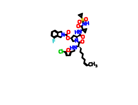 C/C=C\CCCCC[C@H](NCc1ccc(Cl)o1)C(=O)N1C[C@H](OC(=O)N2Cc3cccc(F)c3C2)C[C@H]1C(=O)NC1(C(=O)NS(=O)(=O)C2CC2)CC1